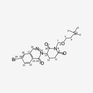 C[Si](C)(C)CCOCN1C(=O)CCC(n2ncc3cc(Br)ccc3c2=O)C1=O